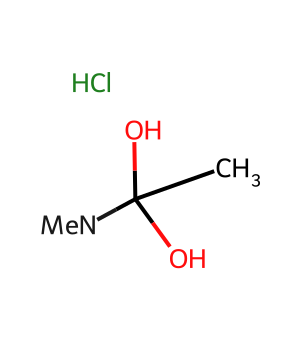 CNC(C)(O)O.Cl